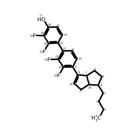 CCCCC1CCC2C(c3ccc(-c4ccc(O)c(F)c4F)c(F)c3F)=CCC12